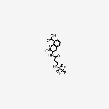 O=C(CCNS(=O)(=O)C(F)(F)F)NC1Cc2cccc(C(=O)O)c2OB1O